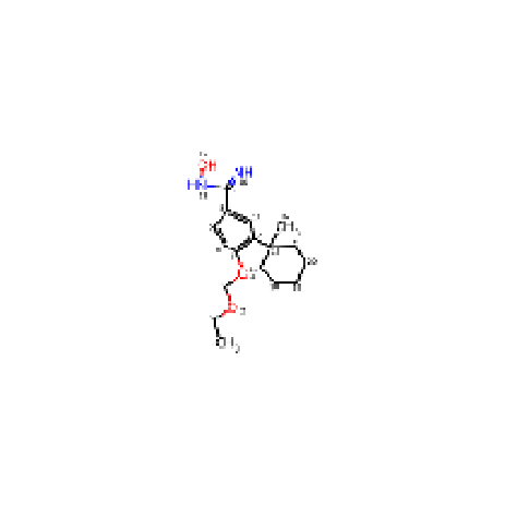 CCOCOc1ccc(C(=N)NO)cc1C1(C)CCCCC1